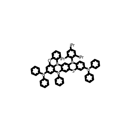 CC(C)c1cc(C(C)C)c(B2c3ccc(N(c4ccccc4)c4ccccc4)cc3Sc3cc4c(cc32)B2c3ccccc3Oc3cc(N(c5ccccc5)c5ccccc5)cc(c32)N4c2ccccc2)c(C(C)C)c1